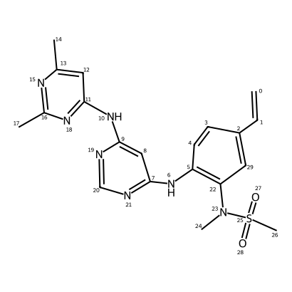 C=Cc1ccc(Nc2cc(Nc3cc(C)nc(C)n3)ncn2)c(N(C)S(C)(=O)=O)c1